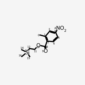 Cc1cc([N+](=O)[O-])ccc1C(=O)OCC[Si](C)(C)C